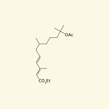 CCOC(=O)/C=C(C)/C=C/CC(C)CCCC(C)(C)OC(C)=O